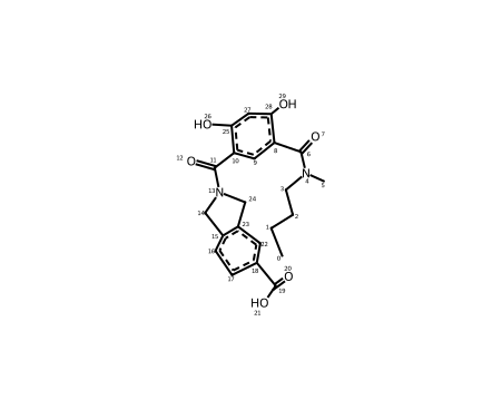 CCCCN(C)C(=O)c1cc(C(=O)N2Cc3ccc(C(=O)O)cc3C2)c(O)cc1O